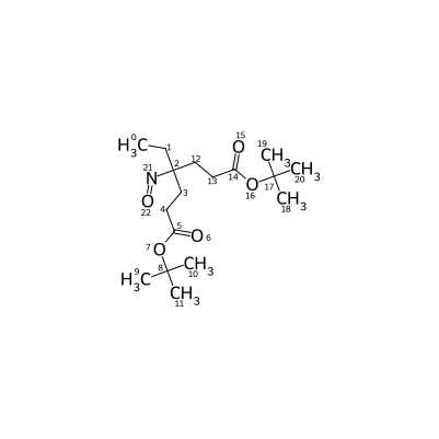 CCC(CCC(=O)OC(C)(C)C)(CCC(=O)OC(C)(C)C)N=O